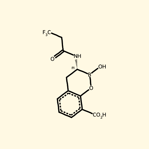 O=C(CC(F)(F)F)N[C@H]1Cc2cccc(C(=O)O)c2OB1O